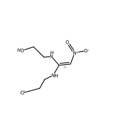 O=[N+]([O-])/C=C(\NCCO)NCCCl